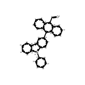 O=Cc1c2ccccc2c(-c2ccc3c(c2)c2ccccc2n3-c2ccccc2)c2ccccc12